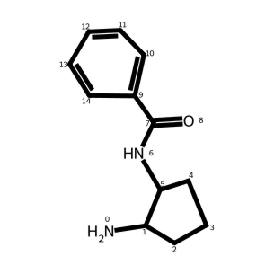 NC1CCCC1NC(=O)c1ccccc1